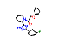 O=C(COc1ccccc1)N1CCCC[C@@H]1c1nc(-c2cccc(F)c2)n[nH]1